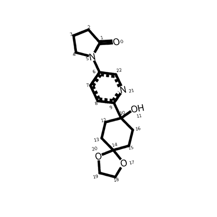 O=C1CCCN1c1ccc(C2(O)CCC3(CC2)OCCO3)nc1